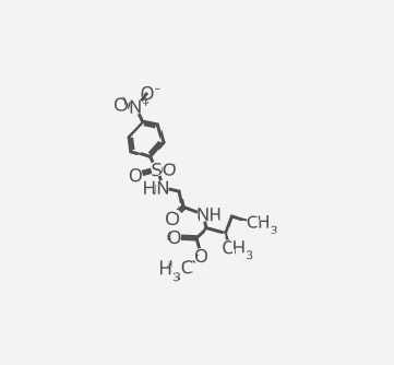 CCC(C)C(NC(=O)CNS(=O)(=O)c1ccc([N+](=O)[O-])cc1)C(=O)OC